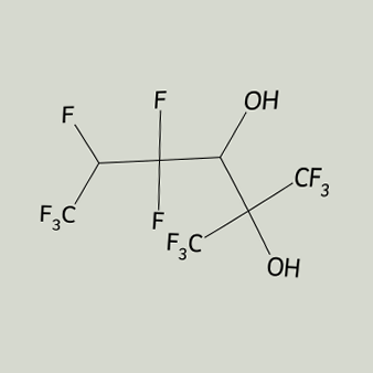 OC(C(F)(F)C(F)C(F)(F)F)C(O)(C(F)(F)F)C(F)(F)F